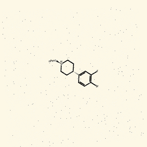 CCCCC[Si@H]1CC[C@H](c2ccc(Br)c(F)c2)CC1